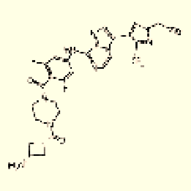 C#CCn1cc(-c2cnc3c(Nc4cc(C)c(C(=O)N5CCN(C(=O)[C@H]6C[C@@H](N)C6)CC5)c(F)c4)nccn23)c(C(F)(F)F)n1